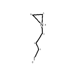 ICCCN1CC1